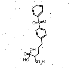 O=P(O)(O)C(CCCc1ccc(S(=O)(=O)c2ccccc2)cc1)S(=O)(=O)O